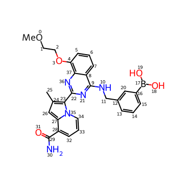 COCCOc1cccc2c(NCc3cccc(B(O)O)c3)nc(-c3c(C)cc4c(C(N)=O)cccn34)nc12